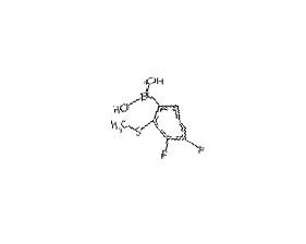 CSc1c(B(O)O)ccc(F)c1F